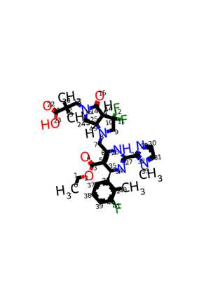 CCOC(=O)C1=C(CN2CC(F)(F)[C@@H]3C(=O)N(CC(C)(C)C(=O)O)C[C@@H]32)NC(c2nccn2C)=N[C@H]1c1cccc(F)c1C